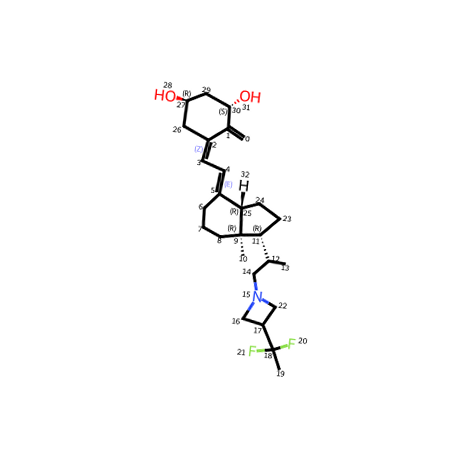 C=C1/C(=C\C=C2/CCC[C@]3(C)[C@@H](C(C)CN4CC(C(C)(F)F)C4)CC[C@@H]23)C[C@@H](O)C[C@@H]1O